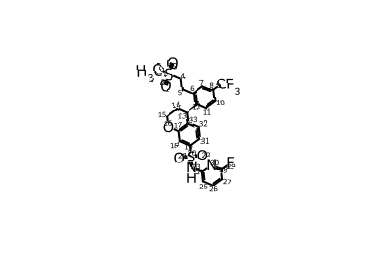 CS(=O)(=O)CCc1cc(C(F)(F)F)ccc1[C@@H]1CCOc2cc(S(=O)(=O)Nc3cccc(F)n3)ccc21